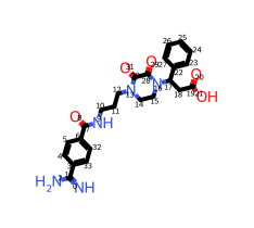 N=C(N)c1ccc(C(=O)NCCCN2CCN(C(CC(=O)O)c3ccccc3)C(=O)C2=O)cc1